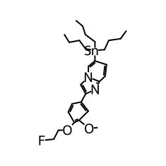 CCC[CH2][Sn]([CH2]CCC)([CH2]CCC)[c]1ccc2nc(-c3ccc(OCCF)c(OC)c3)cn2c1